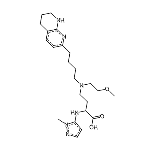 COCCN(CCCCc1ccc2c(n1)NCCC2)CCC(Nc1ccnn1C)C(=O)O